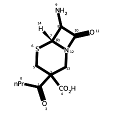 CCCC(=O)C1(C(=O)O)CS[C@@H]2C(N)C(=O)N2C1